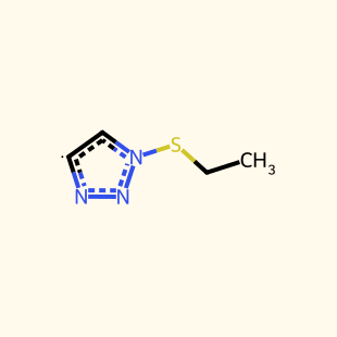 CCSn1c[c]nn1